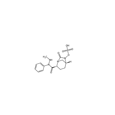 CNN(C(=O)[C@@H]1CC[C@@H]2CN1C(=O)N2OS(=O)(=O)O)c1ccccc1